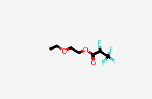 CCOCCOC(=O)C(F)C(F)(F)F